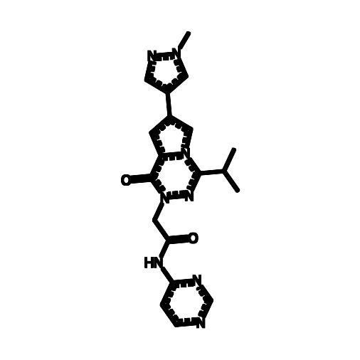 CC(C)c1nn(CC(=O)Nc2ccncn2)c(=O)c2cc(-c3cnn(C)c3)cn12